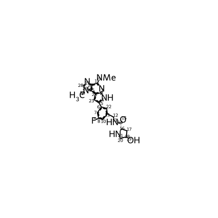 CNc1nc2[nH]c(-c3cc(F)cc(CNC(=O)[C@@H]4C[C@@H](O)CN4)c3)cc2c2c1ncn2C